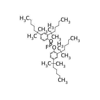 CCCCCC(C)(C)c1ccc(OP(F)Oc2ccc(C(C)(C)CCCCC)cc2C(C)(C)CCCCC)c(C(C)(C)CCCCC)c1